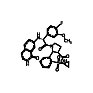 COc1cc([C@@H](Nc2ccc3cc[nH]c(=O)c3c2)C(=O)N2CCC(C(=O)O)C2c2ccccc2S(=O)(=O)C2CC2)ccc1F